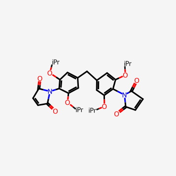 CC(C)Oc1cc(Cc2cc(OC(C)C)c(N3C(=O)C=CC3=O)c(OC(C)C)c2)cc(OC(C)C)c1N1C(=O)C=CC1=O